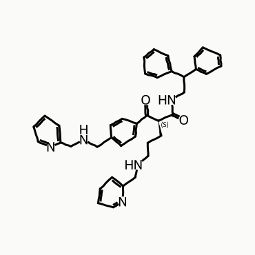 O=C(NCC(c1ccccc1)c1ccccc1)[C@@H](CCCNCc1ccccn1)C(=O)c1ccc(CNCc2ccccn2)cc1